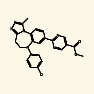 COC(=O)c1cnc(-c2ccc3c(c2)N(c2ccc(Cl)cc2)CCc2nnc(C)n2-3)nc1